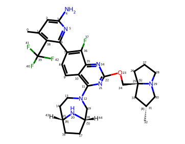 Cc1cc(N)nc(-c2ccc3c(N4CC[C@H]5CC[C@@H](C4)N5)nc(OC[C@@]45CCCN4C[C@H](C)C5)nc3c2F)c1C(F)(F)F